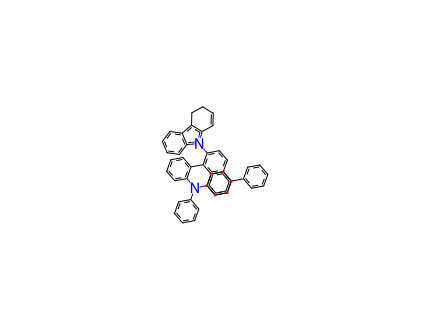 C1=Cc2c(c3ccccc3n2-c2ccc3ccccc3c2-c2ccccc2N(c2ccccc2)c2ccc(-c3ccccc3)cc2)CC1